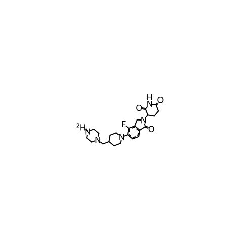 [2H]N1CCN(CC2CCN(c3ccc4c(c3F)CN(C3CCC(=O)NC3=O)C4=O)CC2)CC1